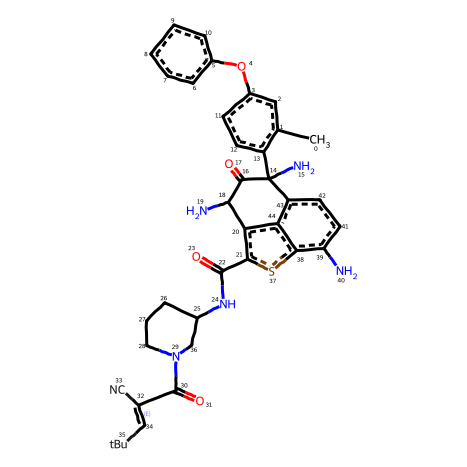 Cc1cc(Oc2ccccc2)ccc1C1(N)C(=O)C(N)c2c(C(=O)NC3CCCN(C(=O)/C(C#N)=C/C(C)(C)C)C3)sc3c(N)ccc1c23